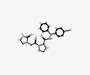 CC(C)c1ccc([C@@H](NC(=O)C2CCCN2C(=O)CN2CCOC2=O)c2ccccc2)cc1